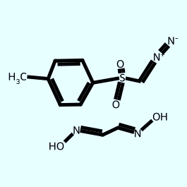 Cc1ccc(S(=O)(=O)C=[N+]=[N-])cc1.O/N=C/C=N/O